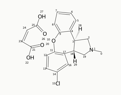 CN1C[C@@H]2c3ccccc3Oc3ccc(Cl)cc3[C@H]2C1.O=C(O)/C=C\C(=O)O